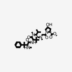 CN[C@H](C(=O)N[C@H](C(=O)N(C)[C@H](CN(C)CC(=O)N1C[C@H](O)C[C@H]1C(=O)OC)C(C)C)C(C)(C)C)C(C)(C)c1ccccc1